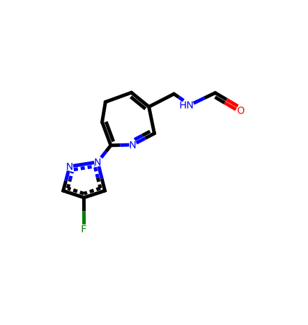 O=CNCC1=CCC=C(n2cc(F)cn2)N=C1